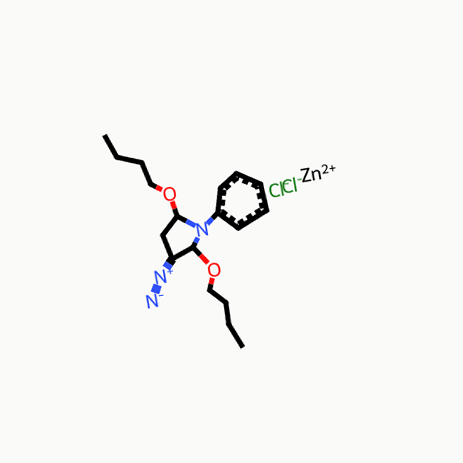 CCCCOC1CC(=[N+]=[N-])C(OCCCC)N1c1ccccc1.[Cl-].[Cl-].[Zn+2]